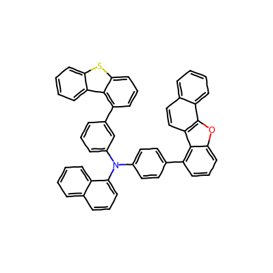 c1cc(-c2cccc3sc4ccccc4c23)cc(N(c2ccc(-c3cccc4oc5c6ccccc6ccc5c34)cc2)c2cccc3ccccc23)c1